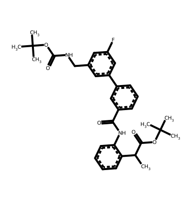 CC(C(=O)OC(C)(C)C)c1ccccc1NC(=O)c1cccc(-c2cc(F)cc(CNC(=O)OC(C)(C)C)c2)c1